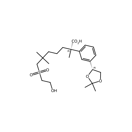 CC(C)(CCC[C@@](C)(C(=O)O)c1cccc([C@@H]2COC(C)(C)O2)c1)CS(=O)(=O)CCO